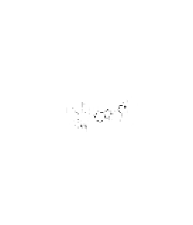 Cc1nn(C)cc1-n1cc2cc(C3(C)CS(=O)(=O)C(C)(C)C(=N)N3)ccc2n1